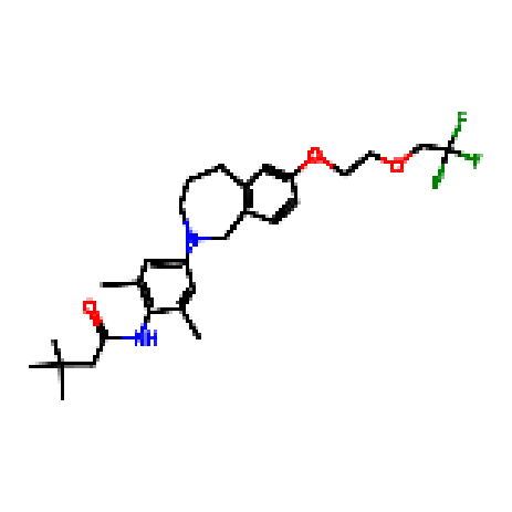 Cc1cc(N2CCCc3cc(OCCOCC(F)(F)F)ccc3C2)cc(C)c1NC(=O)CC(C)(C)C